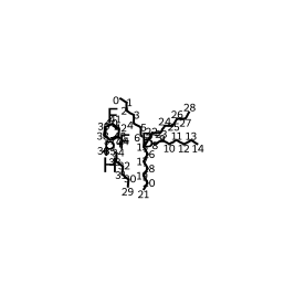 CCCCCCC[B-](CCCCCCC)(CCCCCCC)CCCCCCC.CCCCCC[PH+](C)c1ccc(F)cc1F